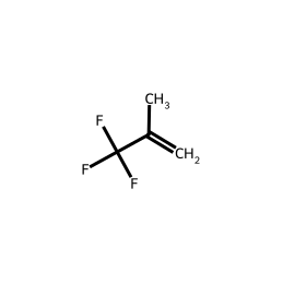 C=C(C)C(F)(F)F